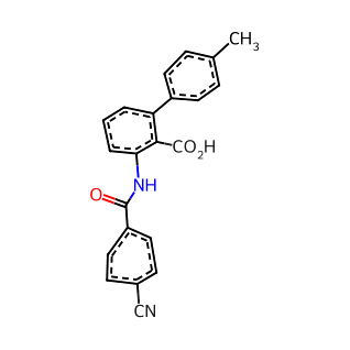 Cc1ccc(-c2cccc(NC(=O)c3ccc(C#N)cc3)c2C(=O)O)cc1